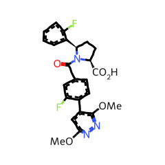 COc1cc(-c2ccc(C(=O)N3[C@@H](c4ccccc4F)CC[C@H]3C(=O)O)cc2F)c(OC)nn1